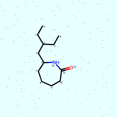 CCC(CC)CC1CCCCC(=O)N1